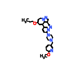 CCCOC1=CCn2ncc(C#N)c2C(c2ccc(N3CCN(CC4=CN=C(OC)CC=C4)CC3)nc2)=C1